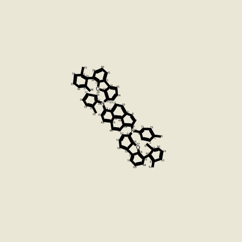 Cc1ccc(N(c2ccc3ccc4c(N(c5ccccc5C)c5cccc6c5oc5c(-c7c(C)cccc7C)cccc56)ccc5ccc2c3c54)c2cccc3c2oc2c(-c4c(C)cccc4C)cccc23)cc1